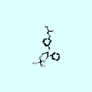 CC1(C)OC[C@@H](Cc2cccc(OCC(=O)O)c2)[C@@H](c2ccccc2)O1